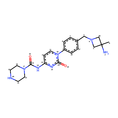 CC1(N)CN(Cc2ccc(-n3ccc(NC(=O)N4CCNCC4)nc3=O)cc2)C1